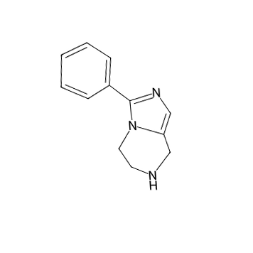 c1ccc(-c2ncc3n2CCNC3)cc1